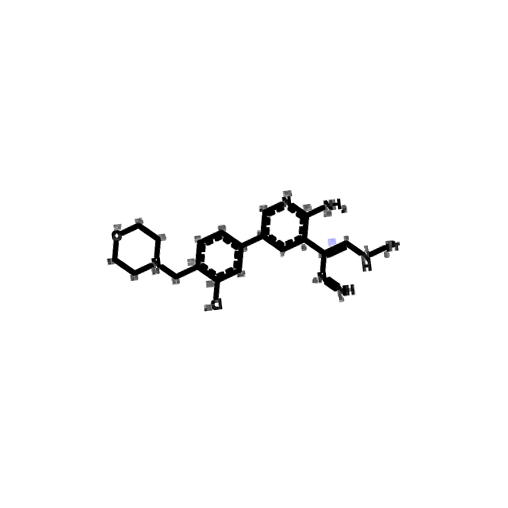 CC(C)N/C=C(\N=N)c1cc(-c2ccc(CN3CCOCC3)c(Cl)c2)cnc1N